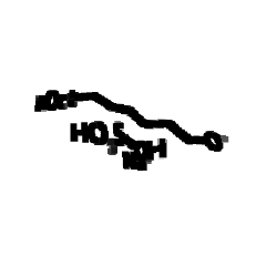 CCCCCCCCCCCCCC[O-].O=S(=O)(O)O.[Na+]